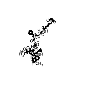 CC[C@@]1(O)C(=O)OCc2c1cc1c3nc4cc(F)c(C)c5c4c4c3c(n1c2=O)=C(C(OCNC(=O)CNC(=O)[C@H](CCc1ccccc1)NC(=O)CNC(=O)CNC(=O)CCCCCN1C(=O)C=CC1=O)C1CC1)N[C@H]4CC5